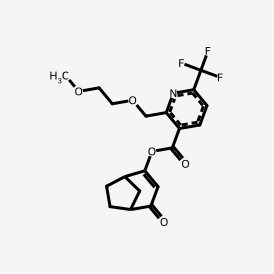 COCCOCc1nc(C(F)(F)F)ccc1C(=O)OC1=CC(=O)C2CCC1C2